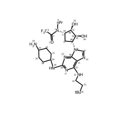 CCCN(C(=O)C(F)(F)F)[C@H]1C[C@@H](n2cnc3c(NCCC(C)(C)C)nc(NC4CCC(N)CC4)nc32)[C@H](O)[C@@H]1O